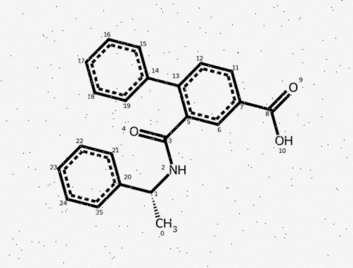 C[C@@H](NC(=O)c1cc(C(=O)O)ccc1-c1ccccc1)c1ccccc1